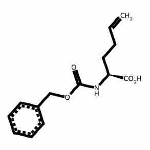 C=CCC[C@H](NC(=O)OCc1ccccc1)C(=O)O